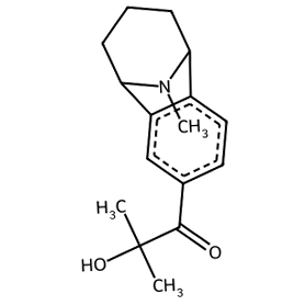 CN1C2CCCC1c1cc(C(=O)C(C)(C)O)ccc12